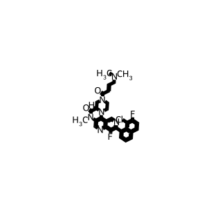 CN(C)CC=CC(=O)N1CCN2c3c(cnc4c(F)c(-c5cccc6ccc(F)c(Cl)c56)ncc34)N(C)C(=O)[C@@H]2C1